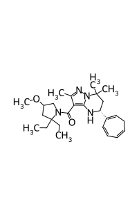 CCC1(CC)CC(OC)CN1C(=O)c1c(C)nn2c1N[C@@H](C1=CCC=CC=C1)CC2(C)C